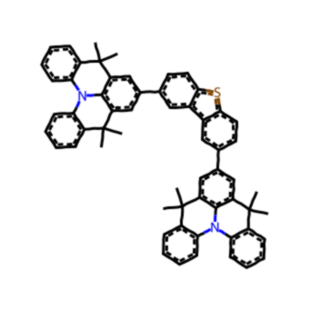 CC1(C)c2ccccc2N2c3ccccc3C(C)(C)c3cc(-c4ccc5sc6ccc(-c7cc8c9c(c7)C(C)(C)c7ccccc7N9c7ccccc7C8(C)C)cc6c5c4)cc1c32